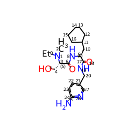 CCN(C)[C@@H](CO)C(=O)N[C@@H](CC1CCCCC1)C(=O)NCc1ccc(N)nc1